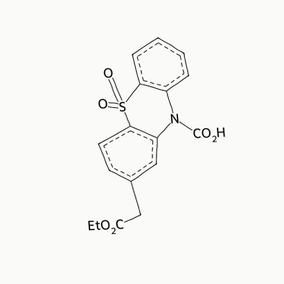 CCOC(=O)Cc1ccc2c(c1)N(C(=O)O)c1ccccc1S2(=O)=O